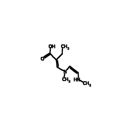 CC/C(=C\N(C)/C=C\NC)C(=O)O